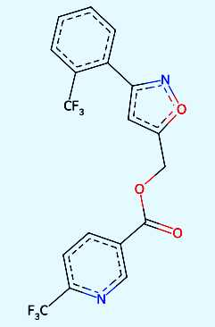 O=C(OCc1cc(-c2ccccc2C(F)(F)F)no1)c1ccc(C(F)(F)F)nc1